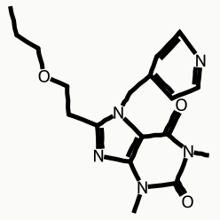 CCCOCCc1nc2c(c(=O)n(C)c(=O)n2C)n1Cc1ccncc1